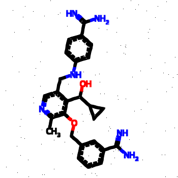 Cc1ncc(CNc2ccc(C(=N)N)cc2)c(C(O)C2CC2)c1OCc1cccc(C(=N)N)c1